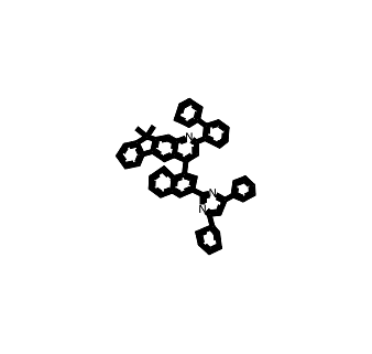 CC1(C)c2ccccc2-c2cc3c(-c4cc(-c5nc(-c6ccccc6)cc(-c6ccccc6)n5)cc5ccccc45)cc(-c4ccccc4-c4ccccc4)nc3cc21